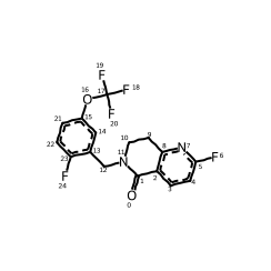 O=C1c2ccc(F)nc2CCN1Cc1cc(OC(F)(F)F)ccc1F